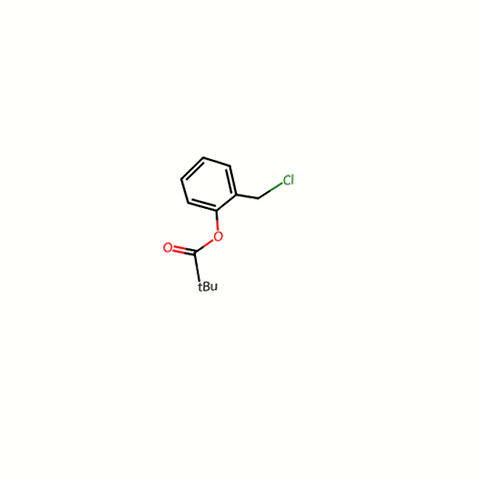 CC(C)(C)C(=O)Oc1ccccc1CCl